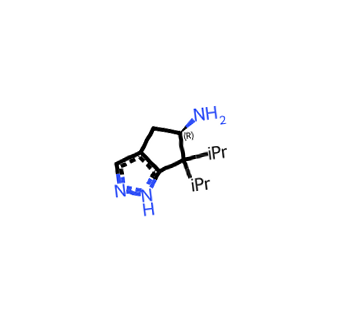 CC(C)C1(C(C)C)c2[nH]ncc2C[C@H]1N